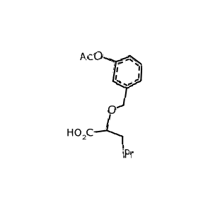 CC(=O)Oc1cccc(COC(CC(C)C)C(=O)O)c1